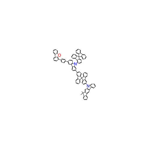 CC1(C)c2ccccc2-c2cc3c4ccccc4n(-c4ccc5c(c4)-c4ccccc4C54c5ccccc5-c5cc(-c6ccc7c8cc(-c9ccc(-c%10cccc%11c%10oc%10ccccc%10%11)cc9)ccc8n(-c8cccc9c8-c8ccccc8C98c9ccccc9-c9ccccc98)c7c6)ccc54)c3cc21